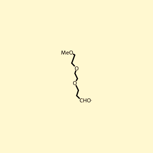 COCCOCCOCC[C]=O